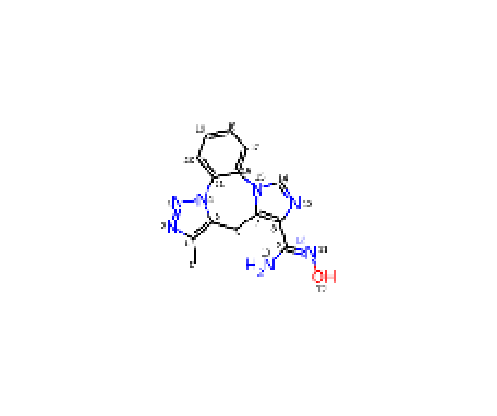 Cc1nnn2c1Cc1c(/C(N)=N/O)ncn1-c1ccccc1-2